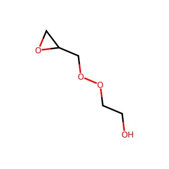 OCCOOCC1CO1